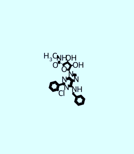 CNC(=O)[C@H]1O[C@@H](n2cnc3c(NCc4ccccc4)nc(-c4ccccc4Cl)nc32)[C@H](O)[C@@H]1O